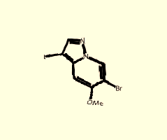 COc1cc2c(I)cnn2cc1Br